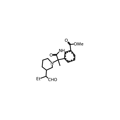 CCC(C=O)C1CCCN(C(C)(C(N)=O)c2cccc(C(=O)OC)c2)C1